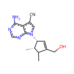 CC1C(CO)=C[C@@H](n2cc(C#N)c3c(N)ncnc32)[C@H]1C